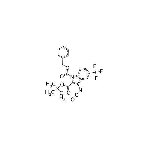 CC(C)(C)OC(=O)c1c(N=C=O)c2cc(C(F)(F)F)ccc2n1C(=O)OCc1ccccc1